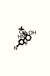 CC(C)(C)OC(=O)NC1(c2ccc(C#N)cc2F)CCCC(O)C1=O